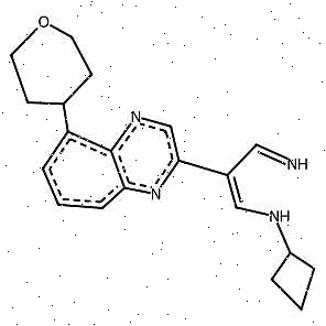 N=C/C(=C\NC1CCC1)c1cnc2c(C3CCOCC3)cccc2n1